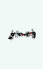 CCC(F)(F)Oc1ccc(F)c(CNC(=O)c2cn(CC(F)CCn3cc(NC(=O)Cc4cc(OC(F)(F)F)ccc4F)nn3)nn2)c1